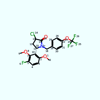 COc1ccc(F)c(OC)c1[C@@H]1CC(Cl)C(=O)N1Cc1ccc(OC(F)(F)F)cc1